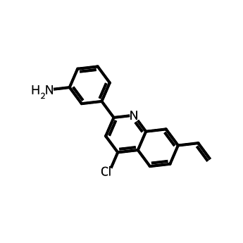 C=Cc1ccc2c(Cl)cc(-c3cccc(N)c3)nc2c1